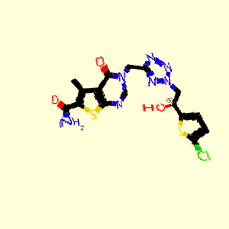 Cc1c(C(N)=O)sc2ncn(Cc3nnn(C[C@H](O)c4ccc(Cl)s4)n3)c(=O)c12